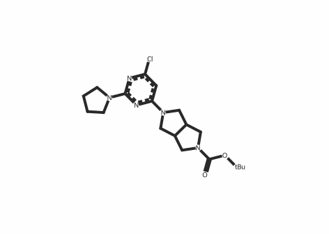 CC(C)(C)OC(=O)N1CC2CN(c3cc(Cl)nc(N4CCCC4)n3)CC2C1